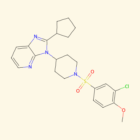 COc1ccc(S(=O)(=O)N2CCC(n3c(C4CCCC4)nc4cccnc43)CC2)cc1Cl